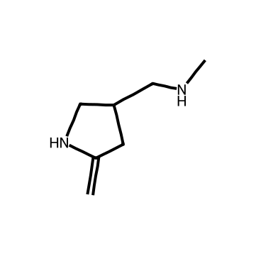 C=C1CC(CNC)CN1